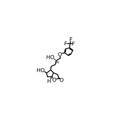 O=C1CC2C(CC[C@@H](O)COc3cccc(C(F)(F)F)c3)C(O)C[C@@H]2O1